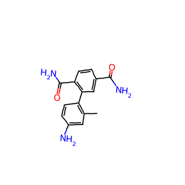 Cc1cc(N)ccc1-c1cc(C(N)=O)ccc1C(N)=O